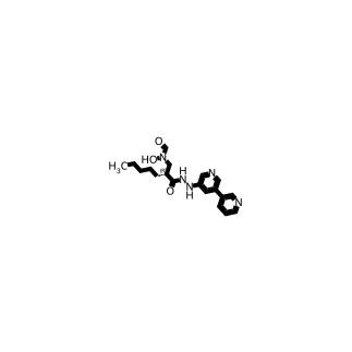 CCCCC[C@H](CN(O)C=O)C(=O)NNc1cncc(-c2cccnc2)c1